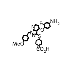 COc1ccc(Cn2nc(SC3CCN(C(=O)O)CC3)c3c(Oc4ccc(N)cc4F)ccnc32)cc1